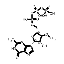 COC1[C@@H](COP(=O)(O)OP(=O)(O)OP(=O)(O)O)O[C@@H](n2cnc3c(=O)[nH]c(C)nc32)[C@H]1O